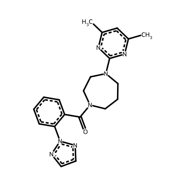 Cc1cc(C)nc(N2CCCN(C(=O)c3ccccc3-n3nccn3)CC2)n1